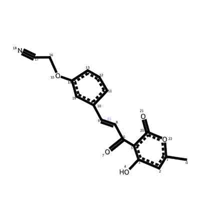 Cc1cc(O)c(C(=O)/C=C/c2cccc(OCC#N)c2)c(=O)o1